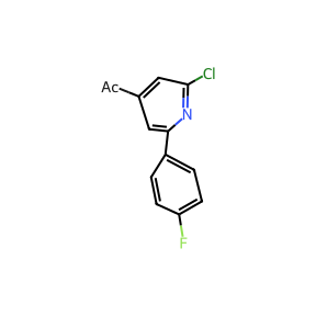 CC(=O)c1cc(Cl)nc(-c2ccc(F)cc2)c1